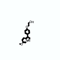 COc1ccc2c(-c3ccc(OCCO)cc3)cnn2c1